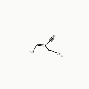 CC/C(C#N)=C\N